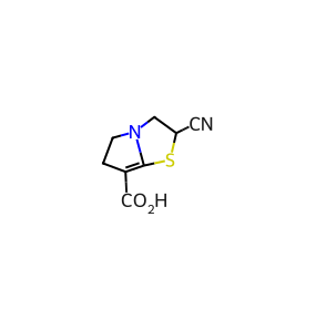 N#CC1CN2CCC(C(=O)O)=C2S1